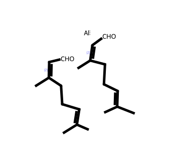 CC(C)=CCC/C(C)=C\C=O.CC(C)=CCC/C(C)=C\C=O.[Al]